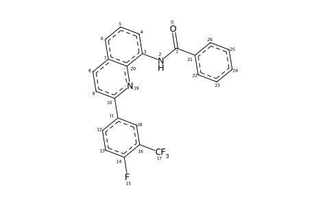 O=C(Nc1cccc2ccc(-c3ccc(F)c(C(F)(F)F)c3)nc12)c1ccccc1